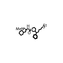 CCOCCCCC(c1ccccc1)C1CCCN(C(=O)N[C@H](CNC)CC2CCCCC2)C1